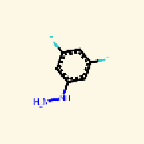 NNc1cc(F)cc(F)c1